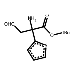 CC(C)(C)OC(=O)C(N)(CC=O)c1cccs1